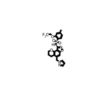 Cc1ccc(S(=O)(=O)Nc2noc3cc(Cn4cccn4)c4c(c23)OCCC4)c(OCC(F)(F)F)c1